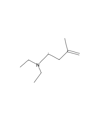 C=C(C)C[CH]N(CC)CC